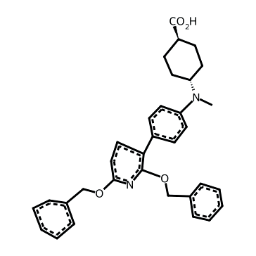 CN(c1ccc(-c2ccc(OCc3ccccc3)nc2OCc2ccccc2)cc1)[C@H]1CC[C@H](C(=O)O)CC1